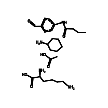 CC(=O)O.CCCC(=O)Nc1ccc(C=O)cc1.NC1CCCCC1.NCCCC[C@H](N)C(=O)O